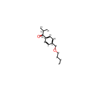 CCCCOCc1ccc(C(=O)C(C)C)cc1